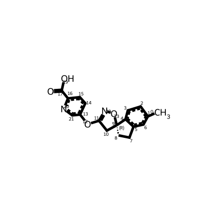 Cc1ccc2c(c1)CC[C@@]21CC(Oc2ccc(C(=O)O)nc2)=NO1